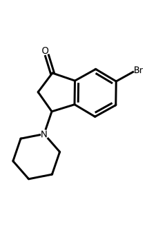 O=C1CC(N2CCCCC2)c2ccc(Br)cc21